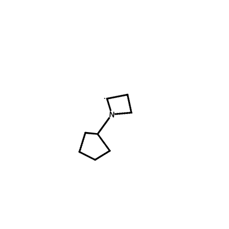 [CH]1CCN1C1CCCC1